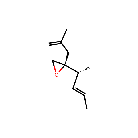 C=C(C)C[C@]1([C@H](C)/C=C/C)CO1